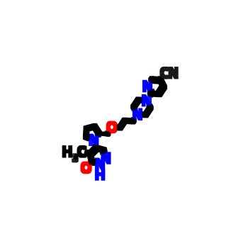 Cc1c(N2CCC[C@H]2COCCCN2CCN(c3ccc(C#N)cn3)CC2)cn[nH]c1=O